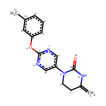 C=C1CCN(c2cnc(Oc3cccc(C)c3)nc2)C(=O)N1